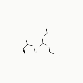 CC(C=O)NN.CCOC(C)OCC